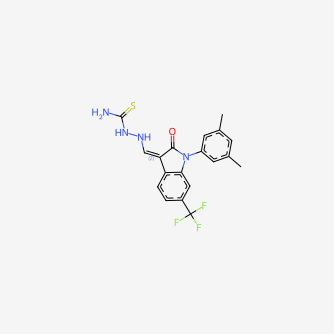 Cc1cc(C)cc(N2C(=O)/C(=C\NNC(N)=S)c3ccc(C(F)(F)F)cc32)c1